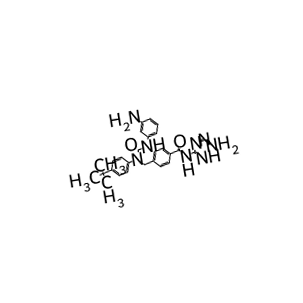 CC(C)(C)c1ccc(N(Cc2ccc(C(=O)NC(=N)/N=N\N)cc2)C(=O)Nc2cccc(N)c2)cc1